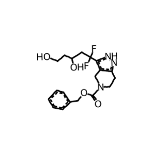 O=C(OCc1ccccc1)N1CCc2n[nH]c(C(F)(F)CC(O)CCO)c2C1